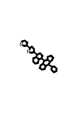 c1ccc(-c2c3ccccc3c(-c3ccc(-c4ccc(-c5cccnc5)nc4)c4ccccc34)c3ccccc23)cc1